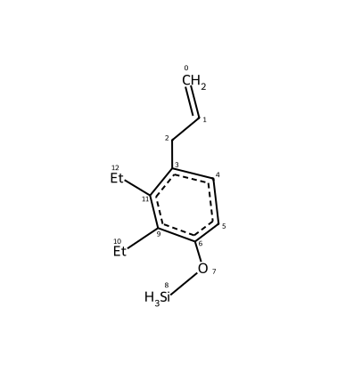 C=CCc1ccc(O[SiH3])c(CC)c1CC